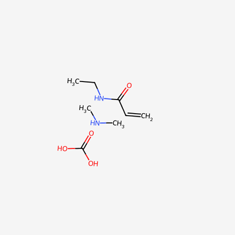 C=CC(=O)NCC.CNC.O=C(O)O